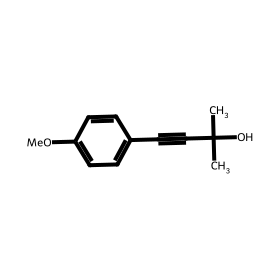 COc1ccc(C#CC(C)(C)O)cc1